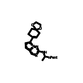 CCCCCC(C)Nc1ncc2ccc(C3=CCC4(CC3)OCCO4)n2n1